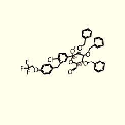 CO[C@@]1(c2ccc(Cl)c(Cc3ccc(OCC(F)(F)F)cc3)c2)O[C@H](C=O)[C@@H](OCc2ccccc2)C(OCc2ccccc2)[C@H]1OCc1ccccc1